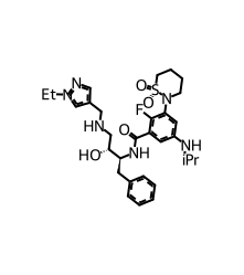 CCn1cc(CNC[C@@H](O)[C@H](Cc2ccccc2)NC(=O)c2cc(NC(C)C)cc(N3CCCCS3(=O)=O)c2F)cn1